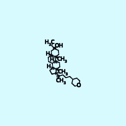 CC[C@]1(O)CC[C@@]2(C)[C@H](CCC3[C@@H]2CC[C@]2(C)[C@@H]([C@H](C)CCCC4CCOCC4)CC[C@@H]32)C1